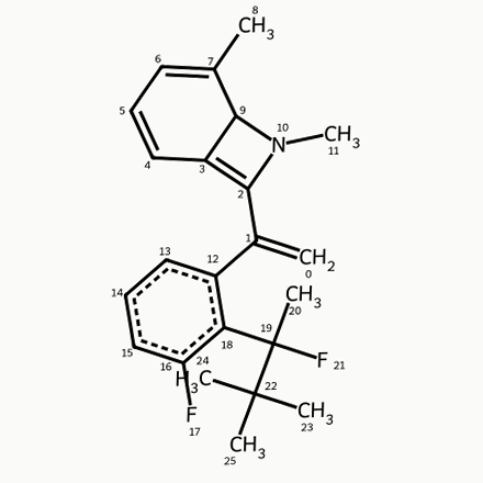 C=C(C1=C2C=CC=C(C)C2N1C)c1cccc(F)c1C(C)(F)C(C)(C)C